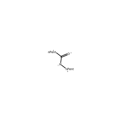 CCCCC[N]C(=O)CCCCC